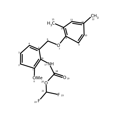 COc1cccc(COc2ccc(C)cc2C)c1NC(=O)OC(F)F